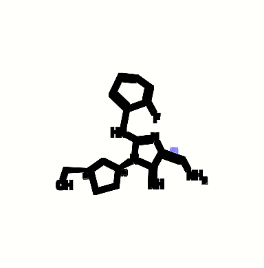 N=C1/C(=C\N)N=C(Nc2ccccc2F)N1[C@H]1CC[C@@H](CO)C1